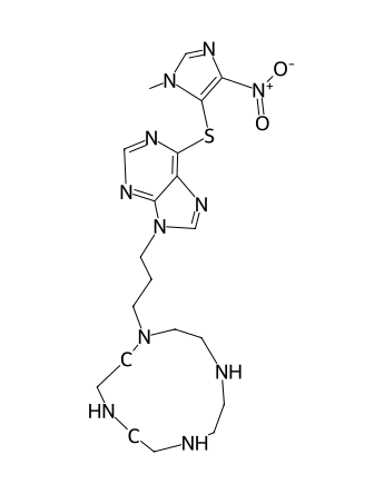 Cn1cnc([N+](=O)[O-])c1Sc1ncnc2c1ncn2CCCN1CCNCCNCCNCC1